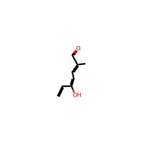 C=C/C(O)=C\C=C(/C)C=O